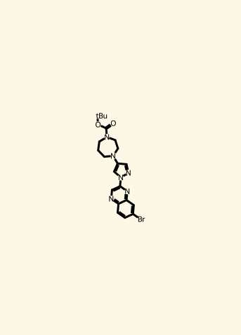 CC(C)(C)OC(=O)N1CCCN(c2cnn(-c3cnc4ccc(Br)cc4n3)c2)CC1